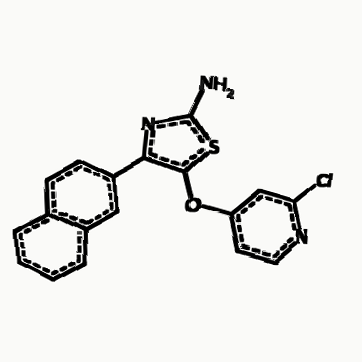 Nc1nc(-c2ccc3ccccc3c2)c(Oc2ccnc(Cl)c2)s1